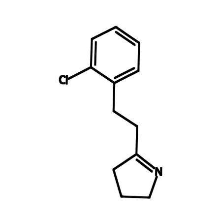 Clc1ccccc1CCC1=NCCC1